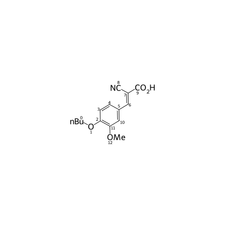 CCCCOc1ccc(/C=C(\C#N)C(=O)O)cc1OC